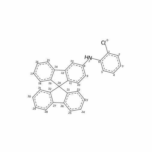 Clc1ccccc1Nc1ccc2c(c1)-c1ccccc1C21c2ccccc2-c2ccccc21